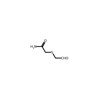 NC(=O)CSCC=O